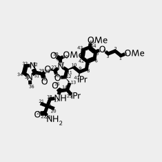 COCCCOc1cc(C[C@@H](C[C@H]2[C@H](CC(C(=O)NCC(C)(C)C(N)=O)C(C)C)O[C@@H](OC(=O)c3nccn3C)N2C(=O)OC)C(C)C)ccc1OC